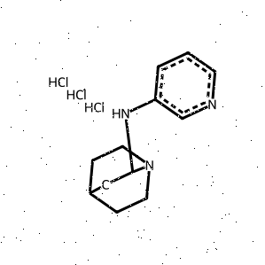 Cl.Cl.Cl.c1cncc(NC2CC3CCN2CC3)c1